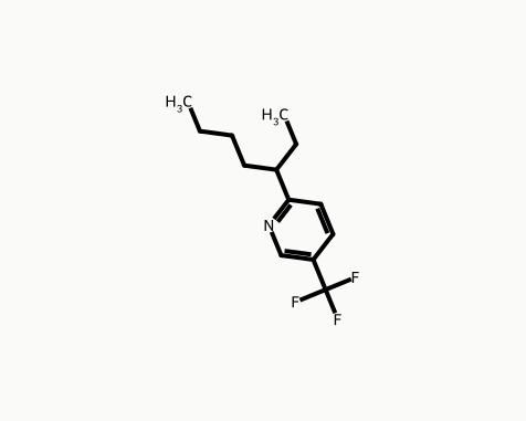 CCCCC(CC)c1ccc(C(F)(F)F)cn1